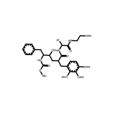 COCCNC(=O)C(NC(=O)C(Cc1ccc(OC)c(OC)c1OC)CC(O)C(Cc1ccccc1)NC(=O)OC(C)(C)C)C(C)C